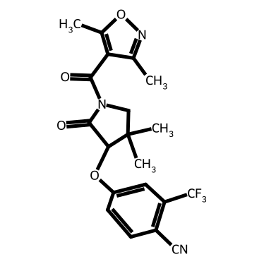 Cc1noc(C)c1C(=O)N1CC(C)(C)C(Oc2ccc(C#N)c(C(F)(F)F)c2)C1=O